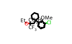 CCOC(CC1(c2cccc(Cl)c2OC)CCCCC1)(C(=O)O)C(F)(F)F